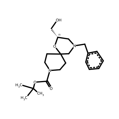 CC(C)(C)OC(=O)N1CCC2(CC1)CN(Cc1ccccc1)C[C@@H](CO)O2